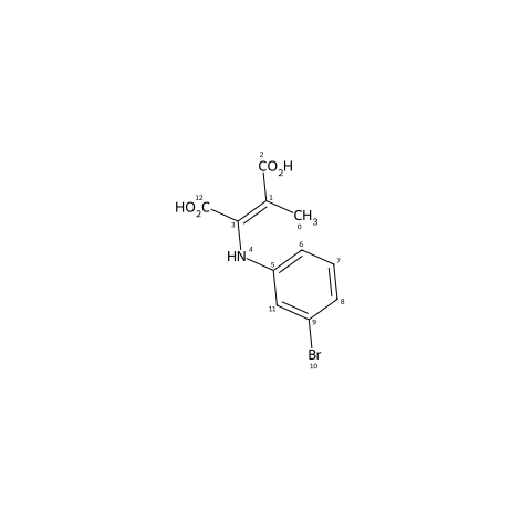 CC(C(=O)O)=C(Nc1cccc(Br)c1)C(=O)O